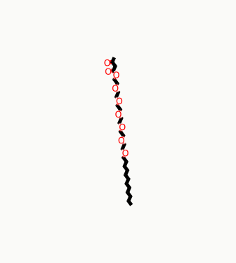 CCCCCCCCCCCCOCCOCCOCCOCCOCCOCCOC(=O)CC(C)=O